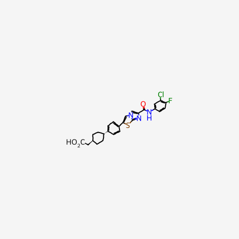 O=C(O)C[C@H]1CC[C@H](c2ccc(-c3cn4cc(C(=O)Nc5ccc(F)c(Cl)c5)nc4s3)cc2)CC1